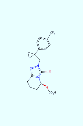 O=C(O)O[C@H]1CCCc2nn(CC3(c4ccc(C(F)(F)F)cc4)CC3)c(=O)n21